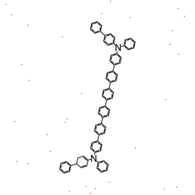 C1=CC(c2ccccc2)CC=C1N(c1ccccc1)c1ccc(-c2ccc(-c3ccc(-c4ccc(-c5ccc(-c6ccc(N(c7ccccc7)c7ccc(-c8ccccc8)cc7)cc6)cc5)cc4)cc3)cc2)cc1